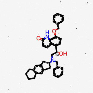 O=c1ccc2c([C@H](O)CN(Cc3ccccc3)C3Cc4cc5c(cc4C3)CCCC5)ccc(OCc3ccccc3)c2[nH]1